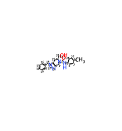 Cc1ccc(NC(=O)N2Cc3ncn(Cc4ccccc4)c3C[C@H]2CO)cc1